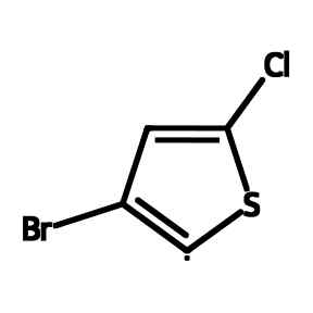 Clc1cc(Br)[c]s1